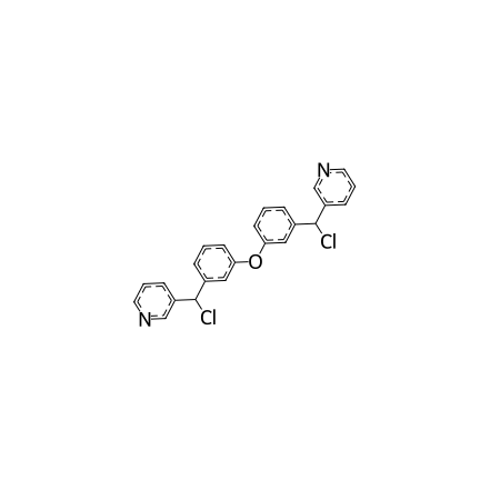 ClC(c1cccnc1)c1cccc(Oc2cccc(C(Cl)c3cccnc3)c2)c1